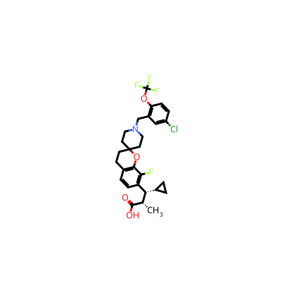 C[C@H](C(=O)O)[C@H](c1ccc2c(c1F)OC1(CC2)CCN(Cc2cc(Cl)ccc2OC(F)(F)F)CC1)C1CC1